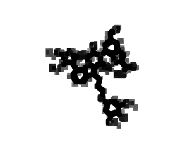 Cc1cc(OCCCc2c3n(c4c(-c5c(C)nn(C)c5C)cccc24)C(C)C(Cl)N(c2cc(C=O)cc4cc(C(=O)O)n(C)c24)C3=O)cc(C)c1Cl